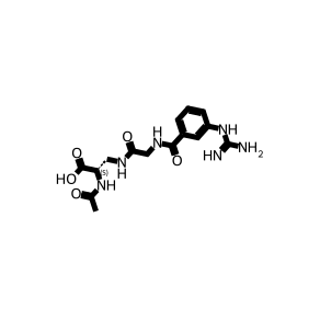 CC(=O)N[C@@H](CNC(=O)CNC(=O)c1cccc(NC(=N)N)c1)C(=O)O